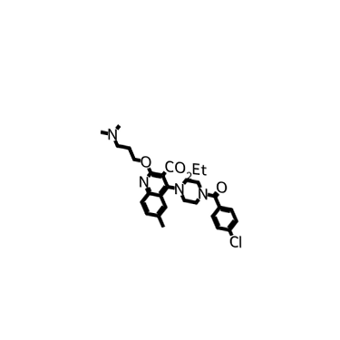 CCOC(=O)c1c(OCCCN(C)C)nc2ccc(C)cc2c1N1CCN(C(=O)c2ccc(Cl)cc2)CC1